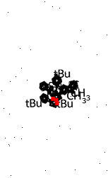 CC(C)(C)c1ccc(N2B3c4sc5ccccc5c4N(c4ccc(C(C)(C)C)cc4-c4ccccc4)c4cc(C(C)(C)C)cc(c43)-c3cc4c(cc32)-c2ccccc2C4(C)C)cc1